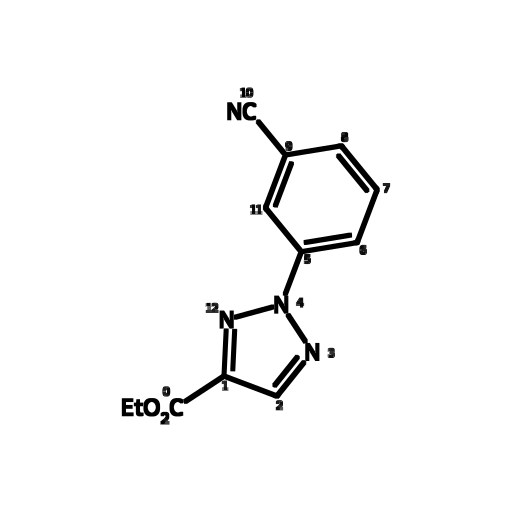 CCOC(=O)c1cnn(-c2cccc(C#N)c2)n1